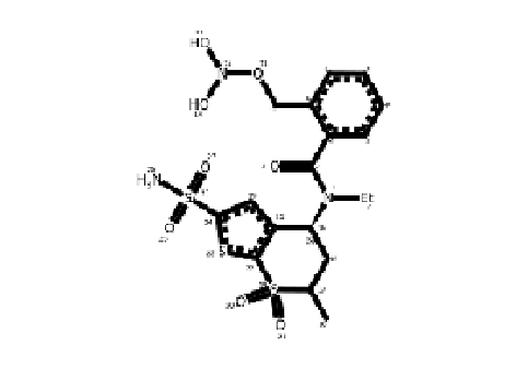 CCN(C(=O)c1ccccc1CON(O)O)[C@H]1CC(C)S(=O)(=O)c2sc(S(N)(=O)=O)cc21